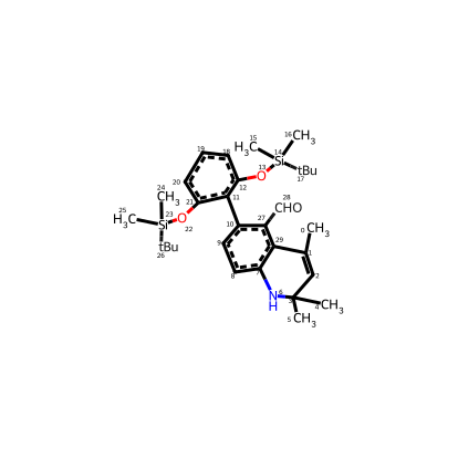 CC1=CC(C)(C)Nc2ccc(-c3c(O[Si](C)(C)C(C)(C)C)cccc3O[Si](C)(C)C(C)(C)C)c(C=O)c21